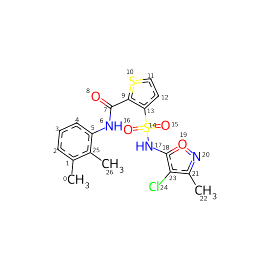 Cc1cccc(NC(=O)c2sccc2S(=O)(=O)Nc2onc(C)c2Cl)c1C